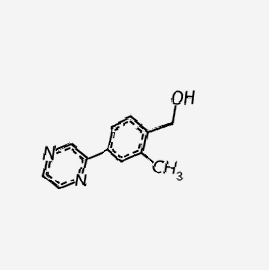 Cc1cc(-c2cnccn2)ccc1CO